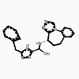 OC(N[C@H]1CCc2ccccc2-n2cnnc21)c1nnc(Cc2ccccc2)[nH]1